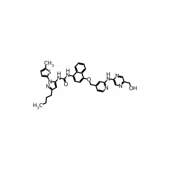 CCCCc1cc(NC(=O)Nc2ccc(OCc3ccnc(Nc4cnc(CO)cn4)c3)c3ccccc23)n(-c2ccc(C)s2)n1